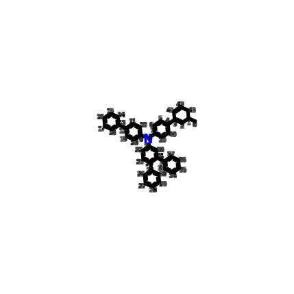 CC1C=C(c2ccc(N(c3ccc(-c4ccccc4)cc3)c3ccc(-c4ccccc4)c(-c4ccccc4)c3)cc2)C=CC1